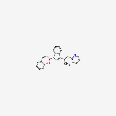 CC(Cc1ccccn1)C1=CC(C2C=Cc3ccccc3O2)c2ccccc21